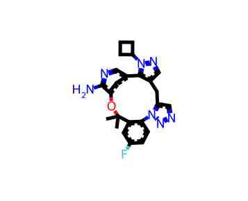 CC1(C)Oc2cc(cnc2N)-c2c(cnn2C2CCC2)Cc2cnnn2-c2ccc(F)cc21